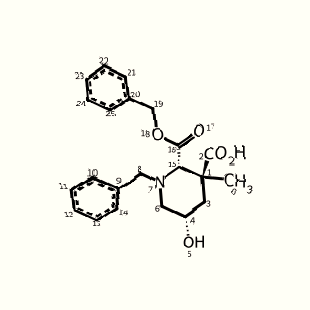 C[C@]1(C(=O)O)C[C@H](O)CN(Cc2ccccc2)[C@@H]1C(=O)OCc1ccccc1